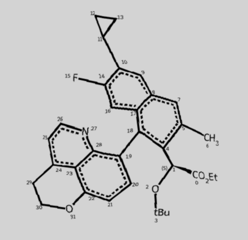 CCOC(=O)[C@@H](OC(C)(C)C)c1c(C)cc2cc(C3CC3)c(F)cc2c1-c1ccc2c3c(ccnc13)CCO2